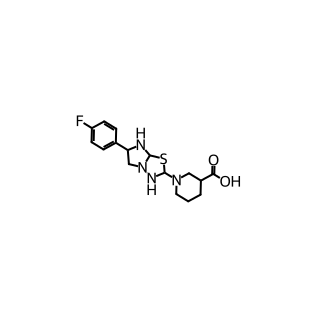 O=C(O)C1CCCN(C2NN3CC(c4ccc(F)cc4)NC3S2)C1